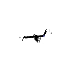 CCCCCCCC/C=C\CCCCCCCC(=O)O[C@H](COC(=O)CCCCCCCCCCCCCCC)COP(=O)(O)OCCC